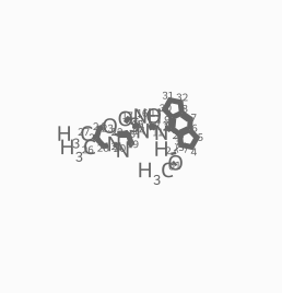 COC[C@H]1CCc2cc3c(c(NC(=O)N=[S@@](N)(=O)c4cnn5c4OCC(C)(C)C5)c21)CCC3